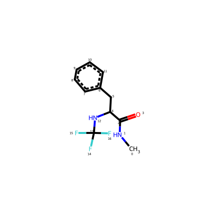 CNC(=O)C(Cc1ccccc1)NC(F)(F)F